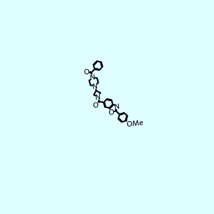 COc1ccc(-c2nc3ccc(C(=O)N4CC(N5CCN(C(=O)c6ccccc6)CC5)C4)cc3o2)cc1